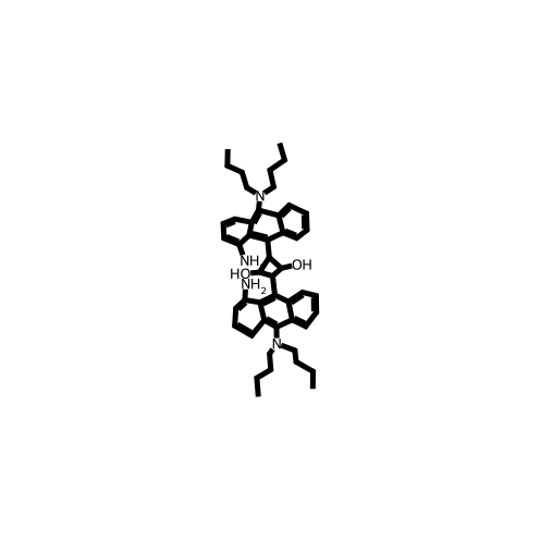 CCCCN(CCCC)c1c2ccccc2c(C2C(O)C(c3c4ccccc4c(N(CCCC)CCCC)c4cccc(N)c34)C2O)c2c(N)cccc12